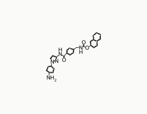 Nc1ccc(-n2ccc(NC(=O)c3ccc(CNC(=O)Oc4ccc5ccccc5c4)cc3)n2)cc1